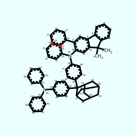 CC1(C)c2ccccc2-c2cc(-c3ccccc3)c(N(c3ccccc3)c3ccc(C4(c5ccc(N(c6ccccc6)c6ccccc6)cc5)C5CC6CC(C5)CC4C6)cc3)cc21